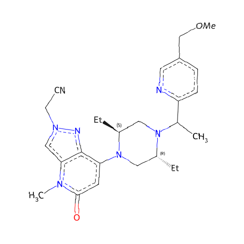 CC[C@H]1CN(C(C)c2ccc(COC)cn2)[C@H](CC)CN1c1cc(=O)n(C)c2cn(CC#N)nc12